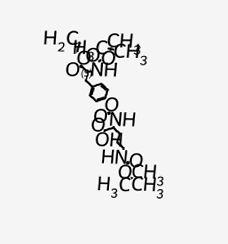 C=CCOC(=O)[C@H](Cc1ccc(OC(=O)NC(CCCNC(=O)OC(C)(C)C)C(=O)O)cc1)NC(=O)OC(C)(C)C